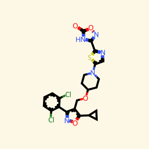 O=c1[nH]c(-c2ncc(N3CCC(OCc4c(-c5c(Cl)cccc5Cl)noc4C4CC4)CC3)s2)no1